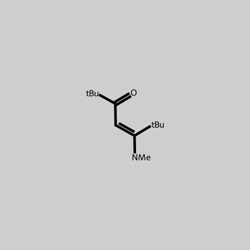 CNC(=CC(=O)C(C)(C)C)C(C)(C)C